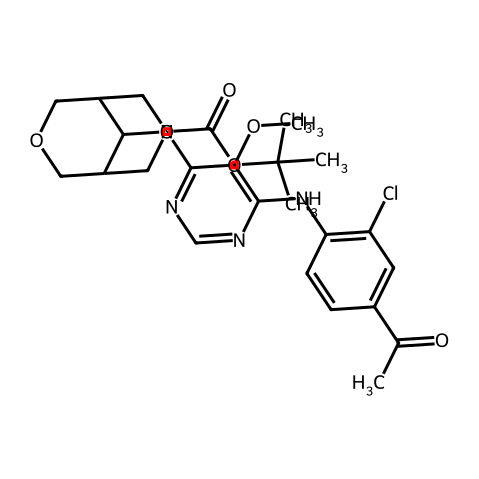 COc1c(Nc2ccc(C(C)=O)cc2Cl)ncnc1OC1C2COCC1CN(C(=O)OC(C)(C)C)C2